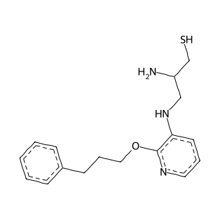 NC(CS)CNc1cccnc1OCCCc1ccccc1